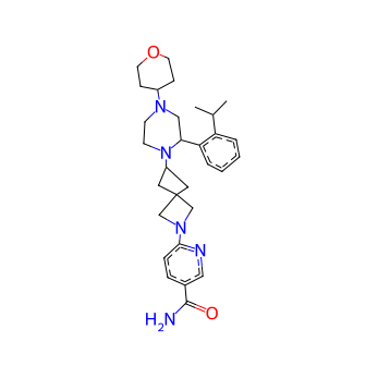 CC(C)c1ccccc1C1CN(C2CCOCC2)CCN1C1CC2(C1)CN(c1ccc(C(N)=O)cn1)C2